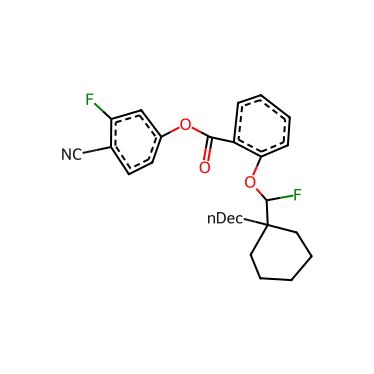 CCCCCCCCCCC1(C(F)Oc2ccccc2C(=O)Oc2ccc(C#N)c(F)c2)CCCCC1